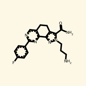 NCCCn1nc2c(c1C(N)=O)CCc1cnc(-c3ccc(F)cc3)nc1-2